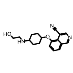 N#Cc1cncc2cccc(OC3CCC(NCCO)CC3)c12